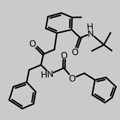 Cc1cccc(CC(=O)C(Cc2ccccc2)NC(=O)OCc2ccccc2)c1C(=O)NC(C)(C)C